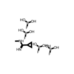 CNC(=N)C1CC1.OB(O)F.OB(O)F.OB(O)F.OB(O)F